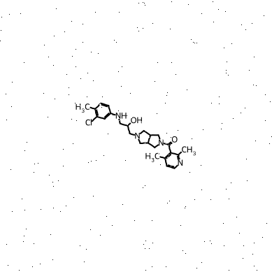 Cc1ccc(NCC(O)CN2CC3CN(C(=O)c4c(C)ccnc4C)CC3C2)cc1Cl